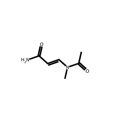 CC(=O)N(C)C=CC(N)=O